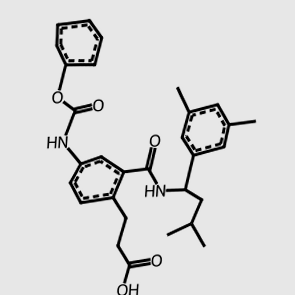 Cc1cc(C)cc(C(CC(C)C)NC(=O)c2cc(NC(=O)Oc3ccccc3)ccc2CCC(=O)O)c1